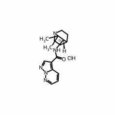 CC1(C)[C@@H](NC(=O)c2cnn3ncccc23)C2CCN1CC2.Cl